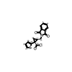 O=C1c2ccccc2C(=O)N1C[C@@H]1C[C@@]1(C(=O)Cl)c1cccs1